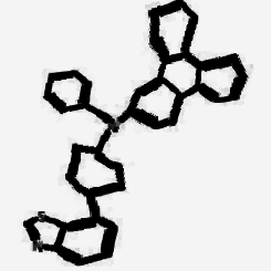 c1ccc(N(c2ccc(-c3cccc4ncsc34)cc2)c2ccc3c4ccccc4c4ccccc4c3c2)cc1